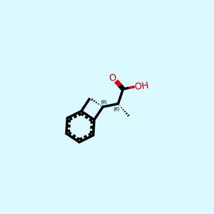 C[C@@H](C(=O)O)[C@H]1Cc2ccccc21